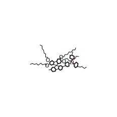 CCCCCCCCOc1cc2c(cc1OCCCCCCCC)C1(c3cc(C)ccc3-c3ccc(-c4ccc(N(c5ccc(C)cc5)c5ccc(CCCC)cc5)cc4)cc31)c1cc(OCCCCCCCC)c(OCCCCCCCC)cc1-2